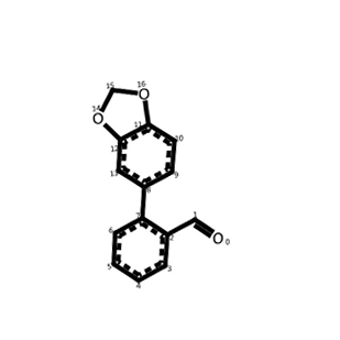 O=Cc1ccccc1-c1ccc2c(c1)OCO2